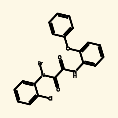 O=C(Nc1ccccc1Oc1ccccc1)C(=O)N(Br)c1ccccc1Cl